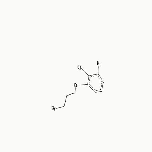 Clc1c(Br)cccc1OCCCBr